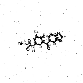 CCCS(=O)(=O)Nc1cc(F)c(F)c(C(=O)c2ccc3ncsc3c2)c1